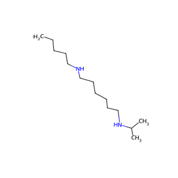 [CH2]CCCCNCCCCCCNC(C)C